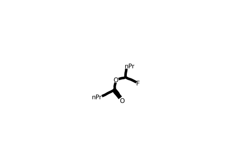 CCCC(=O)OC(F)CCC